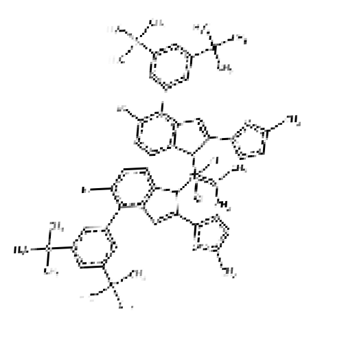 CCc1ccc2c(c1-c1cc([Si](C)(C)C)cc([Si](C)(C)C)c1)C=C(c1ccc(C)o1)[CH]2[Zr]([Cl])([Cl])([CH]1C(c2ccc(C)o2)=Cc2c1ccc(CC)c2-c1cc([Si](C)(C)C)cc([Si](C)(C)C)c1)=[Si](C)C